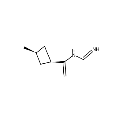 C=C(NC=N)[C@H]1C[C@@H](C)C1